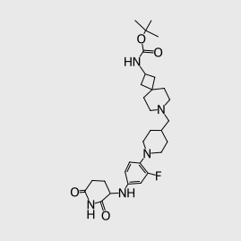 CC(C)(C)OC(=O)NC1CC2(CCN(CC3CCN(c4ccc(NC5CCC(=O)NC5=O)cc4F)CC3)CC2)C1